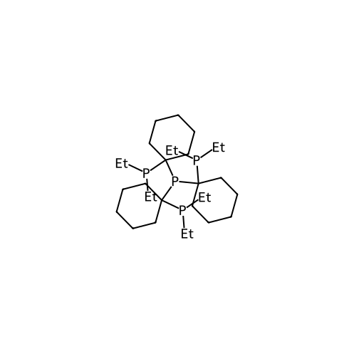 CCP(CC)C1(P(C2(P(CC)CC)CCCCC2)C2(P(CC)CC)CCCCC2)CCCCC1